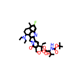 CCN(CC)C1CCc2c(C)c(F)cc3nc4c(c1c23)Cn1c-4cc2c(c1=O)COC(=O)[C@@]2(CC)OC(O)[C@@H](NC(=O)OC(C)(C)C)C(C)C